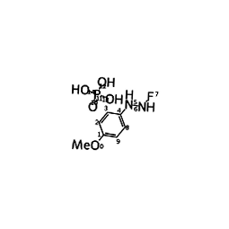 COc1ccc(NNF)cc1.O=P(O)(O)O